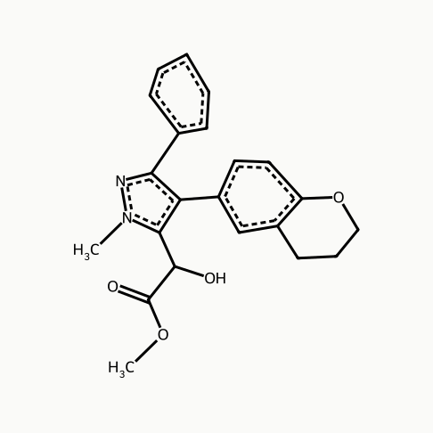 COC(=O)C(O)c1c(-c2ccc3c(c2)CCCO3)c(-c2ccccc2)nn1C